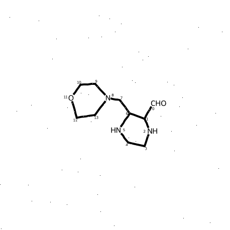 O=CC1NCCNC1CN1CCOCC1